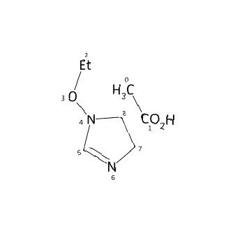 CC(=O)O.CCON1C=NCC1